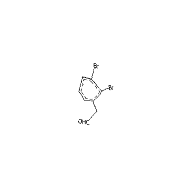 O=CCc1cccc(Br)c1Br